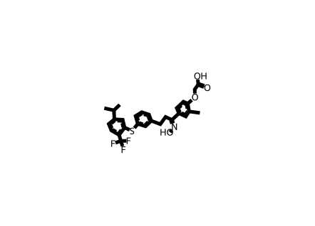 Cc1cc(C(CCc2cccc(Sc3cc(C(C)C)ccc3C(F)(F)F)c2)=NO)ccc1OCC(=O)O